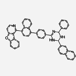 c1ccc(C2N=C(c3ccc(-c4ccc(-c5nccc6oc7ccccc7c56)c5ccccc45)cc3)NC(c3ccc4ccccc4c3)N2)cc1